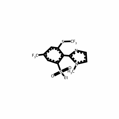 CCS(=O)(=O)c1cc(C(F)(F)F)cc(SC(F)(F)F)c1-c1nccn1C